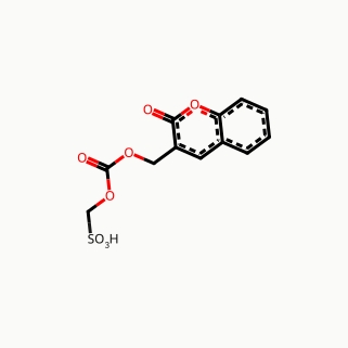 O=C(OCc1cc2ccccc2oc1=O)OCS(=O)(=O)O